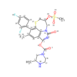 CC1CN(C(=O)Oc2nc(=O)n3c4c(c(-c5ccc(F)cc5F)c(C(F)(F)F)cc24)SC[C@@H](OS(C)(=O)=O)C3)CCN1